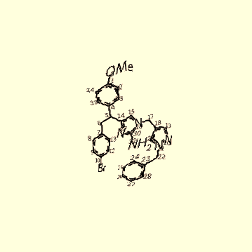 COc1ccc(C(Cc2ccc(Br)cc2)c2cn(Cc3cnn(Cc4ccccc4)c3)c(N)n2)cc1